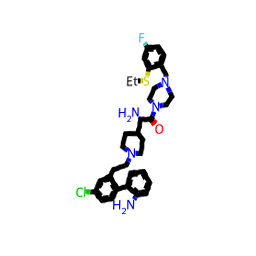 CCSc1cc(F)ccc1CN1CCN(C(=O)[C@H](N)C2CCN(CCc3cc(Cl)ccc3-c3ccccc3N)CC2)CC1